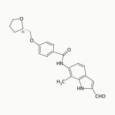 Cc1c(NC(=O)c2ccc(OC[C@@H]3CCCO3)cc2)ccc2cc(C=O)[nH]c12